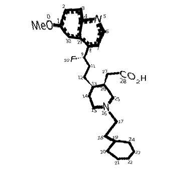 COc1ccc2nccc([C@@H](F)CC[C@@H]3CCN(CCC4CCCCC4)C[C@@H]3CC(=O)O)c2c1